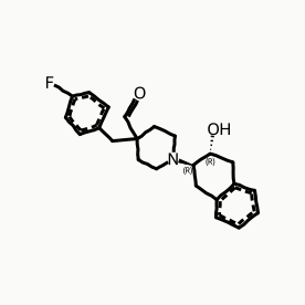 O=CC1(Cc2ccc(F)cc2)CCN([C@@H]2Cc3ccccc3C[C@H]2O)CC1